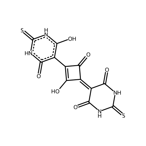 O=C1NC(=S)NC(=O)C1=C1C(=O)C(c2c(O)[nH]c(=S)[nH]c2=O)=C1O